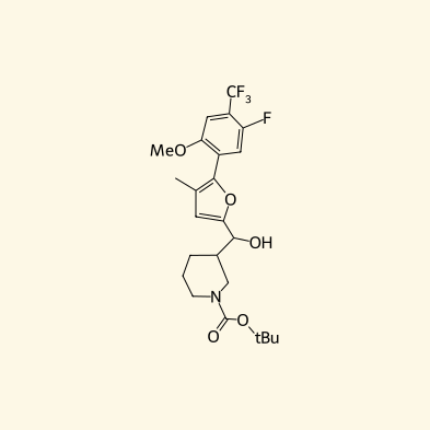 COc1cc(C(F)(F)F)c(F)cc1-c1oc(C(O)C2CCCN(C(=O)OC(C)(C)C)C2)cc1C